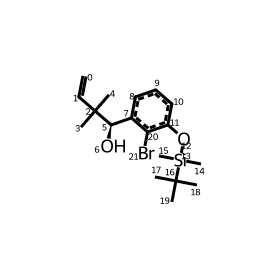 C=CC(C)(C)[C@H](O)c1cccc(O[Si](C)(C)C(C)(C)C)c1Br